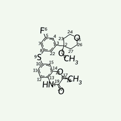 COC1(c2cc(F)cc(Sc3ccc4c(c3)O[C@@H](C)C(=O)N4)c2)CCOCC1